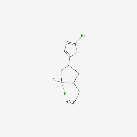 O=C(O)CC1CC(c2ccc(Br)s2)CC1(F)F